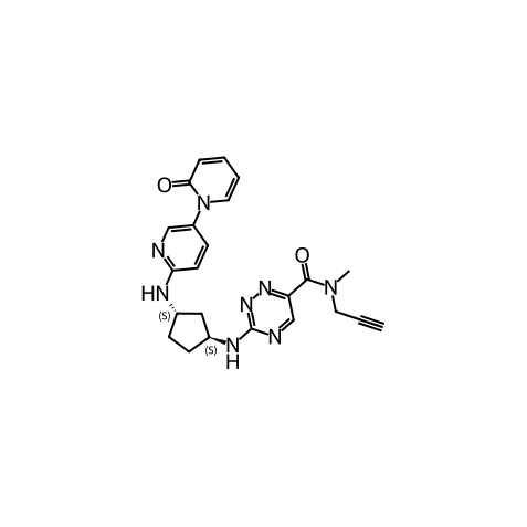 C#CCN(C)C(=O)c1cnc(N[C@H]2CC[C@H](Nc3ccc(-n4ccccc4=O)cn3)C2)nn1